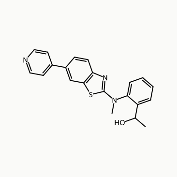 CC(O)c1ccccc1N(C)c1nc2ccc(-c3ccncc3)cc2s1